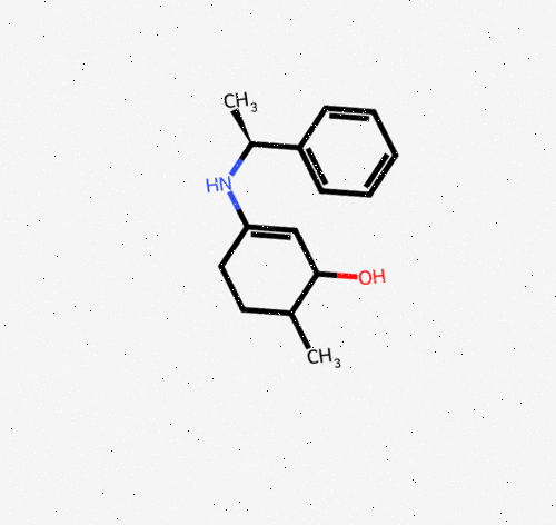 CC1CCC(N[C@@H](C)c2ccccc2)=CC1O